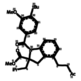 COC(=O)C1(CC(C)C)Cc2c(CCC(C)=O)cccc2N1C(=O)c1ccc(C(C)(C)C)c(OC)c1